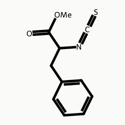 COC(=O)C(Cc1ccccc1)N=C=S